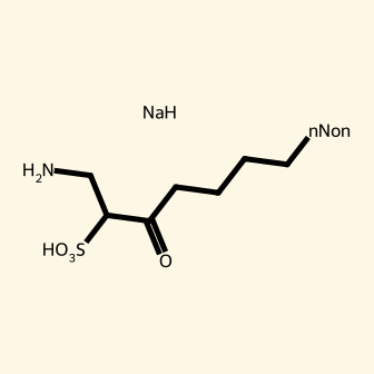 CCCCCCCCCCCCCC(=O)C(CN)S(=O)(=O)O.[NaH]